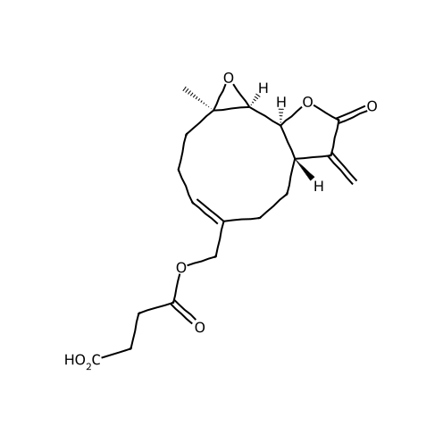 C=C1C(=O)O[C@H]2[C@H]1CC/C(COC(=O)CCC(=O)O)=C\CC[C@@]1(C)O[C@@H]21